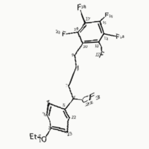 CCOc1ccc(C(CCCc2c(F)c(F)c(F)c(F)c2F)C(F)(F)F)cc1